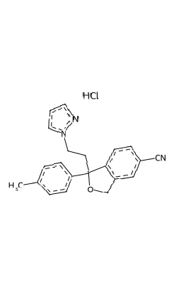 Cc1ccc(C2(CCn3cccn3)OCc3cc(C#N)ccc32)cc1.Cl